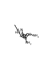 CCCCCCCCNCCC[C@@H](C)[C@H]1CC[C@H]2C3[C@H](OCCCN)CC4C[C@H](OCCCN)CC[C@]4(C)[C@H]3C[C@H](OCCCN)[C@]12C